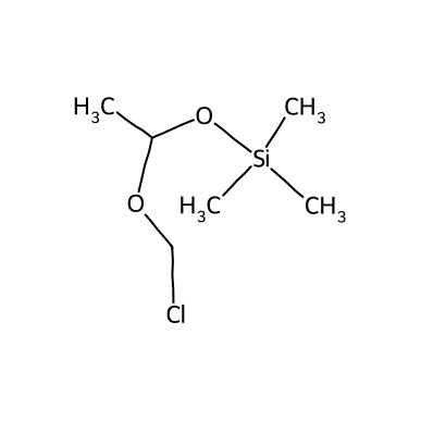 CC(OCCl)O[Si](C)(C)C